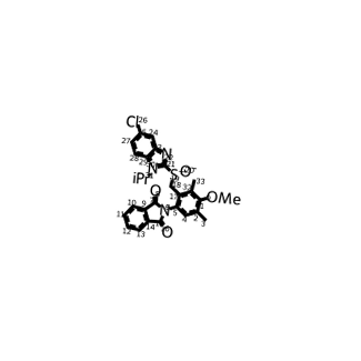 COc1c(C)cc(N2C(=O)c3ccccc3C2=O)c(C[S+]([O-])c2nc3cc(Cl)ccc3n2C(C)C)c1C